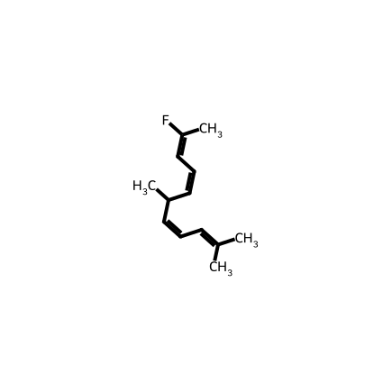 CC(C)=C/C=C\C(C)/C=C\C=C(/C)F